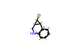 BrC1C2CNc3ccccc3C12